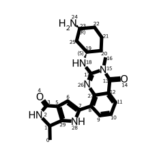 CC1NC(=O)c2cc(-c3cccc4c(=O)n(C)c(N[C@H]5CCC[C@@H](N)C5)nc34)[nH]c21